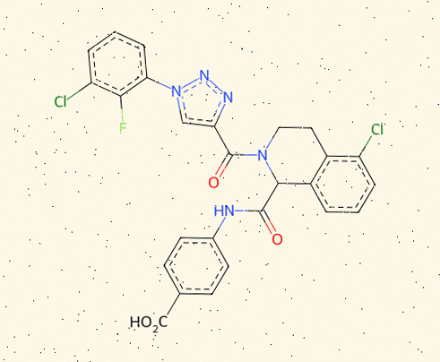 O=C(O)c1ccc(NC(=O)C2c3cccc(Cl)c3CCN2C(=O)c2cn(-c3cccc(Cl)c3F)nn2)cc1